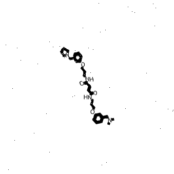 CN(C)Cc1cccc(OCCCNC(=O)/C=C/C(=O)NCCCOc2cccc(CN3CCCC3)c2)c1